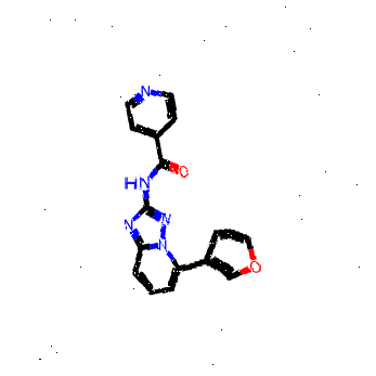 O=C(Nc1nc2cccc(-c3ccoc3)n2n1)c1ccncc1